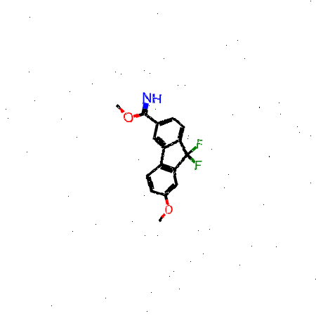 COC(=N)c1ccc2c(c1)-c1ccc(OC)cc1C2(F)F